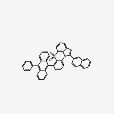 O=S1(=O)c2c(-c3c4ccccc4c(-c4ccccc4)c4ccccc34)cccc2-n2c(-c3ccc4ccccc4c3)nc3cccc1c32